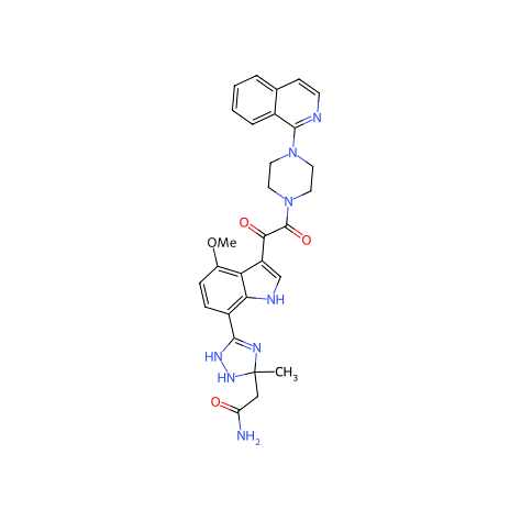 COc1ccc(C2=NC(C)(CC(N)=O)NN2)c2[nH]cc(C(=O)C(=O)N3CCN(c4nccc5ccccc45)CC3)c12